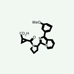 COc1cccc(-c2nc(C3CCCN3C(=O)C3CC3C(=O)O)n3ccccc23)c1